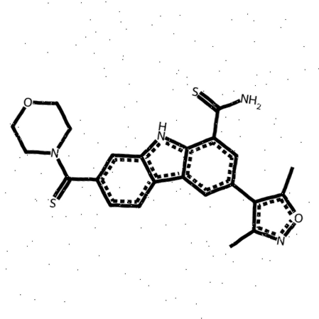 Cc1noc(C)c1-c1cc(C(N)=S)c2[nH]c3cc(C(=S)N4CCOCC4)ccc3c2c1